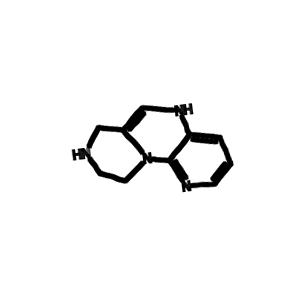 C1=C2CNCCN2c2ncccc2N1